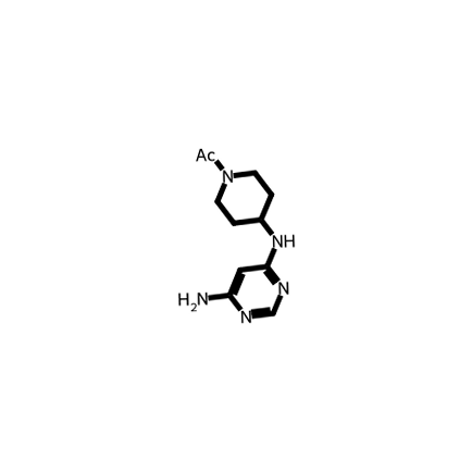 CC(=O)N1CCC(Nc2cc(N)ncn2)CC1